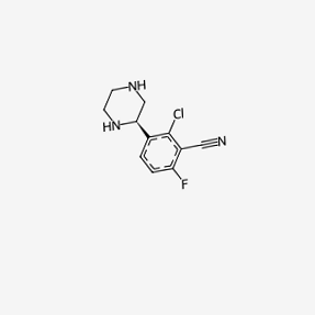 N#Cc1c(F)ccc([C@@H]2CNCCN2)c1Cl